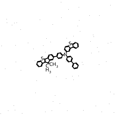 CC1(C)c2cc(-c3ccc(N(c4ccc(-c5ccccc5)cc4)c4ccc5sc6ccccc6c5c4)cc3)ccc2-c2sc3ccccc3c21